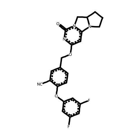 N#Cc1cc(COc2cc3n(c(=O)n2)CC2CCCN32)ccc1Oc1cc(F)cc(F)c1